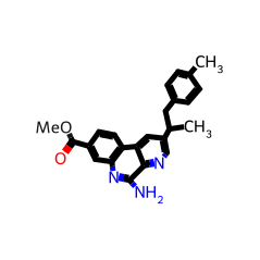 COC(=O)c1ccc2c(c1)nc(N)c1ncc(C(C)Cc3ccc(C)cc3)cc12